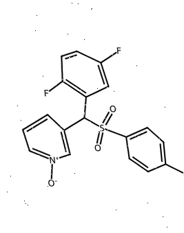 O=S(=O)(c1ccc(Cl)cc1)C(c1ccc[n+]([O-])c1)c1cc(F)ccc1F